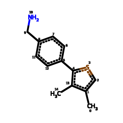 Cc1csc(-c2ccc(CN)cc2)c1C